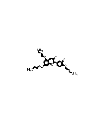 CCCCOc1cc(OCCCC)c2c(c1)OC(c1ccc(OCCCC)c(F)c1)C(=O)C2